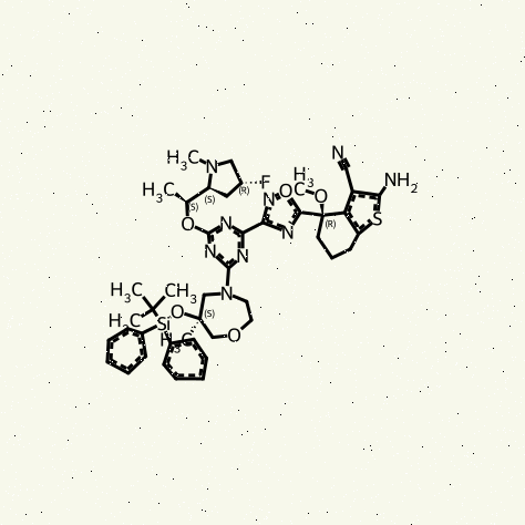 CO[C@]1(c2nc(-c3nc(O[C@@H](C)[C@@H]4C[C@@H](F)CN4C)nc(N4CCOC[C@@](C)(O[Si](c5ccccc5)(c5ccccc5)C(C)(C)C)C4)n3)no2)CCCc2sc(N)c(C#N)c21